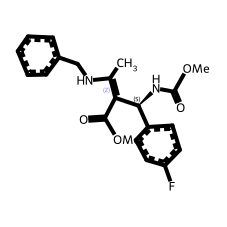 COC(=O)N[C@H](/C(C(=O)OC)=C(\C)NCc1ccccc1)c1ccc(F)cc1